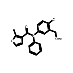 CC(=O)OCc1cc(N(C(=O)c2ccoc2C)c2ccccc2)ccc1Cl